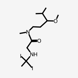 COC(CCN(C)C(=O)CNC(C)(I)I)C(C)C